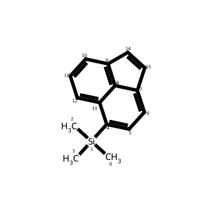 C[Si](C)(C)c1ccc2c3c(cccc13)C=C2